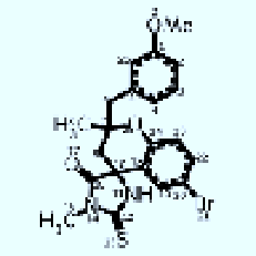 COc1cccc(CC2(C)CC3(NC(=S)N(C)C3=O)c3cc(Br)ccc3O2)c1